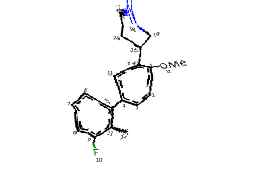 COc1ccc(-c2cccc(F)c2C)cc1C1CCNC1